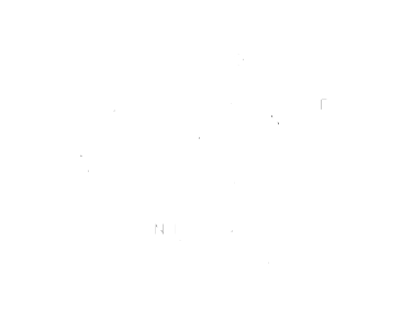 CCN(C(=O)c1ccc(O)c(N)c1)C1CCCCC1